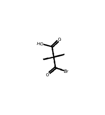 CC(C)(C(=O)O)C(=O)Br